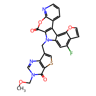 COCn1cnc2c(Cn3c4cc(F)c5ccoc5c4c4c5cccnc5oc(=O)c43)csc2c1=O